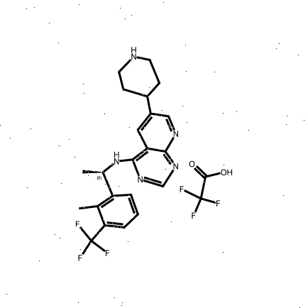 Cc1c([C@@H](C)Nc2ncnc3ncc(C4CCNCC4)cc23)cccc1C(F)(F)F.O=C(O)C(F)(F)F